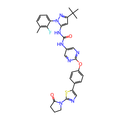 Cc1cccc(-n2nc(C(C)(C)C)cc2NC(=O)Nc2cnc(Oc3ccc(-c4cnc(N5CCCC5=O)s4)cc3)nc2)c1F